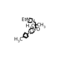 CCN1CCN(CC(C)(C)C(=O)N2CCN(c3ccc(C)cc3)CC2)CC1